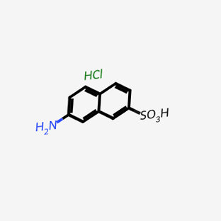 Cl.Nc1ccc2ccc(S(=O)(=O)O)cc2c1